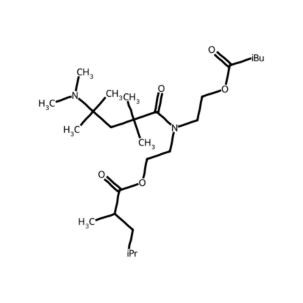 CCC(C)C(=O)OCCN(CCOC(=O)C(C)CC(C)C)C(=O)C(C)(C)CC(C)(C)N(C)C